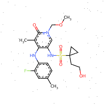 COCn1cc(NS(=O)(=O)C2(CCO)CC2)c(Nc2ccc(C)cc2F)c(C)c1=O